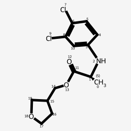 C[C@H](Nc1ccc(Cl)c(Cl)c1)C(=O)OCC1CCOC1